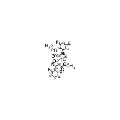 CCOC(=O)c1c(-c2onc(-c3c(F)cccc3Cl)c2C(=O)OC)cnn1-c1cc(F)cc(F)c1